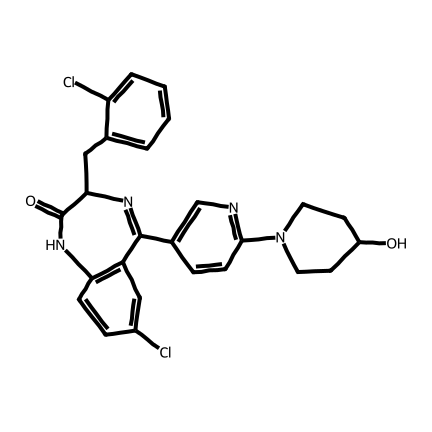 O=C1Nc2ccc(Cl)cc2C(c2ccc(N3CCC(O)CC3)nc2)=NC1Cc1ccccc1Cl